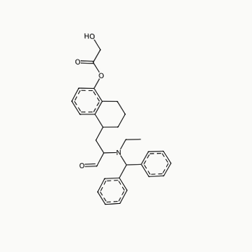 CCN(C(C=O)CC1CCCc2c(OC(=O)CO)cccc21)C(c1ccccc1)c1ccccc1